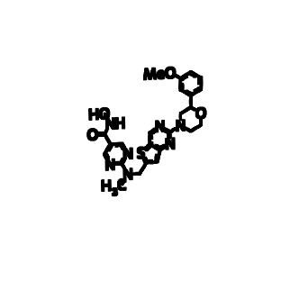 COc1cccc(C2CN(c3ncc4sc(CN(C)c5ncc(C(=O)NO)cn5)cc4n3)CCO2)c1